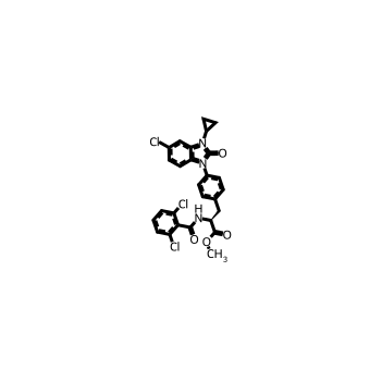 COC(=O)[C@H](Cc1ccc(-n2c(=O)n(C3CC3)c3cc(Cl)ccc32)cc1)NC(=O)c1c(Cl)cccc1Cl